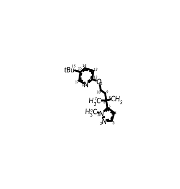 Cn1nccc1C(C)(C)CCOc1ccc(C(C)(C)C)cn1